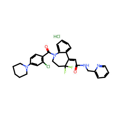 Cl.O=C(/C=C1/c2ccccc2N(C(=O)c2ccc(N3CCCCC3)cc2Cl)CCC1(F)F)NCc1ccccn1